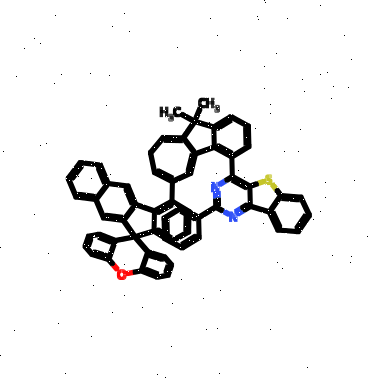 CC1(C)C2=CCC=C(c3cccc4c3-c3cc5ccccc5cc3C43c4ccccc4Oc4ccccc43)C=C2c2c(-c3nc(-c4ccccc4)nc4c3sc3ccccc34)cccc21